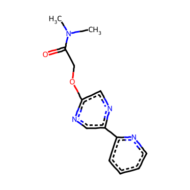 CN(C)C(=O)COc1cnc(-c2ccccn2)cn1